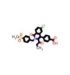 CCC(=O)c1c(-c2ccc(C(=O)O)cc2)c2cc(Cl)ccc2c(=O)n1Cc1ccc(S(C)(=O)=O)cc1